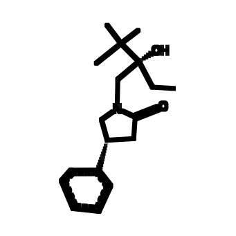 CC[C@@](O)(CN1C[C@@H](c2ccccc2)CC1=O)C(C)(C)C